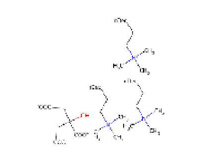 CCCCCCCCCCCC[N+](C)(C)C.CCCCCCCCCCCC[N+](C)(C)C.CCCCCCCCCCCC[N+](C)(C)C.O=C([O-])CC(O)(CC(=O)[O-])C(=O)[O-]